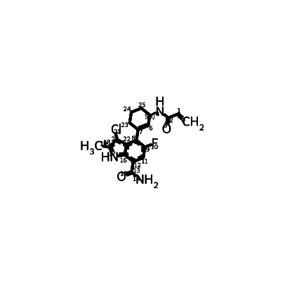 C=CC(=O)N[C@H]1C=C(c2c(F)cc(C(N)=O)c3[nH]c(C)c(Cl)c23)CCC1